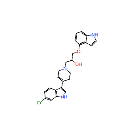 OC(COc1cccc2[nH]ccc12)CN1CC=C(c2c[nH]c3cc(Cl)ccc23)CC1